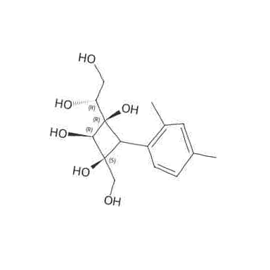 Cc1ccc(C2[C@@](O)([C@H](O)CO)[C@H](O)[C@@]2(O)CO)c(C)c1